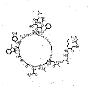 CCCC[C@H](NCN[C@@H](C)C(=O)CCN[C@@H](C)C(=O)CC(=O)[C@]1(C)CCC/C=C/CCCCCC[C@@](C)(NN[C@@H](Cc2ccccc2)C(=O)C(=O)[C@@H](NC(=O)[C@H](CC(C)C)NC(C)=O)[C@@H](C)O)C(=O)CN[C@@H](C)C(=O)CN[C@@H](Cc2ccc(O)cc2)C(=O)N[C@@H](Cc2c[nH]c3ccccc23)C(=O)CN[C@@H](C)C(=O)CC(=O)[C@H](CCC(N)=O)NN[C@@H](CC(C)C)C(=O)N1)C(=O)CN[C@@H](C)C(=O)CN